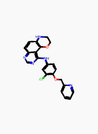 Clc1cc(Nc2ncnc3ccc4c(c23)OCCN4)ccc1OCc1ccccn1